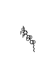 CCCCCC1CCC(C2OCC(c3ccc(OCC)c(F)c3F)CO2)CO1